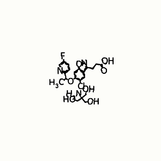 CC(Oc1cc2onc(CCC(=O)O)c2cc1Cl)c1ccc(F)cn1.NC(CO)(CO)CO